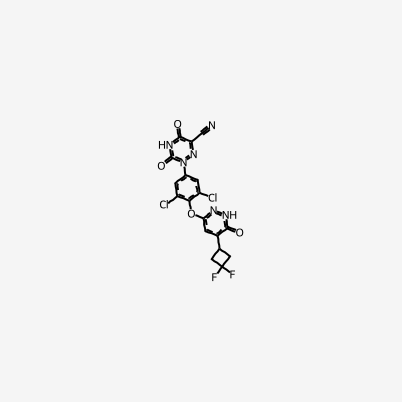 N#Cc1nn(-c2cc(Cl)c(Oc3cc(C4CC(F)(F)C4)c(=O)[nH]n3)c(Cl)c2)c(=O)[nH]c1=O